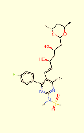 CC(C)c1nc(N(C)S(C)(=O)=O)nc(-c2ccc(F)cc2)c1/C=C/[C@@H](O)C[C@@H](O)CC1O[C@H](C)C[C@@H](C)O1